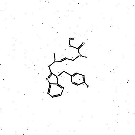 CN(C=CCN(C)C(=O)OC(C)(C)C)Cc1nc2ccccc2n1Cc1ccc(F)cc1